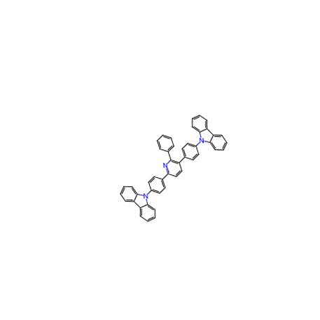 c1ccc(-c2nc(-c3ccc(-n4c5ccccc5c5ccccc54)cc3)ccc2-c2ccc(-n3c4ccccc4c4ccccc43)cc2)cc1